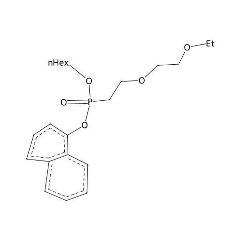 CCCCCCOP(=O)(CCOCCOCC)Oc1cccc2ccccc12